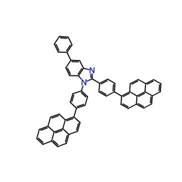 c1ccc(-c2ccc3c(c2)nc(-c2ccc(-c4ccc5ccc6cccc7ccc4c5c67)cc2)n3-c2ccc(-c3ccc4ccc5cccc6ccc3c4c56)cc2)cc1